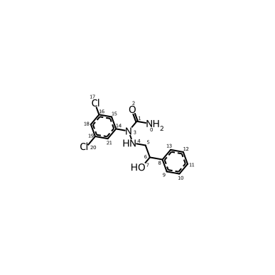 NC(=O)N(NCC(O)c1ccccc1)c1cc(Cl)cc(Cl)c1